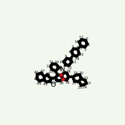 c1ccc(-c2ccc(-c3ccc(N(c4cccc(-c5ccc6ccccc6c5)c4)c4ccccc4-c4cccc5oc6cc7ccccc7cc6c45)cc3)cc2)cc1